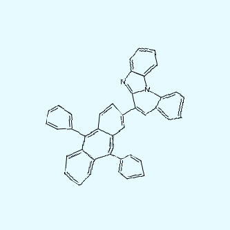 c1ccc(-c2c3ccccc3c(-c3ccccc3)c3cc(-c4cc5ccccc5n5c4nc4ccccc45)ccc23)cc1